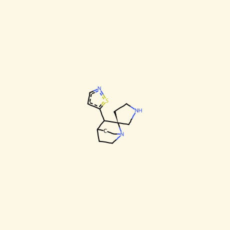 c1cc(C2C3CCN(CC3)[C@]23CCNC3)sn1